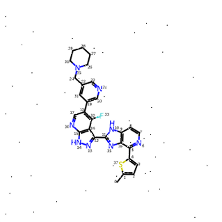 Cc1ccc(-c2nccc3[nH]c(-c4n[nH]c5ncc(-c6cncc(CN7CCCCC7)c6)c(F)c45)nc23)s1